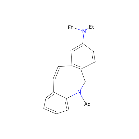 CCN(CC)c1ccc2c(c1)C=Cc1ccccc1N(C(C)=O)C2